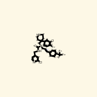 O=C(NCc1ccnc(Cl)c1)[N+]1(C/C=C/c2ccc(C(F)(F)F)cc2)CC2(CCNCC2)c2cc(Cl)c(F)cc21